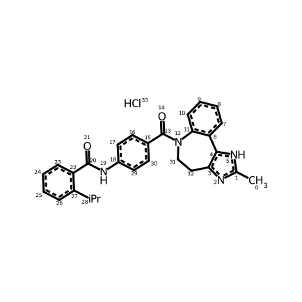 Cc1nc2c([nH]1)-c1ccccc1N(C(=O)c1ccc(NC(=O)c3ccccc3C(C)C)cc1)CC2.Cl